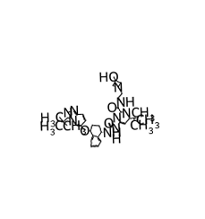 CC(C)(C)c1cc(NC(=O)N[C@H]2CC[C@@H](Oc3ccc4nnc(C(C)(C)C)n4c3)c3ccccc32)nc(C(=O)NCCN2CC(O)C2)n1